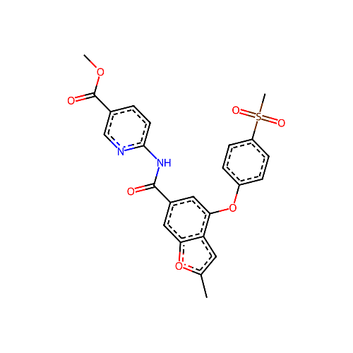 COC(=O)c1ccc(NC(=O)c2cc(Oc3ccc(S(C)(=O)=O)cc3)c3cc(C)oc3c2)nc1